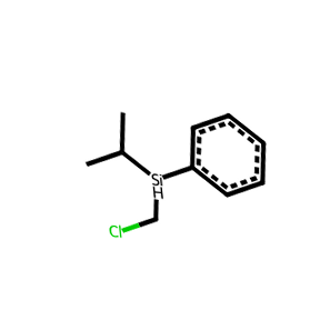 CC(C)[SiH](CCl)c1ccccc1